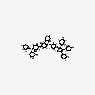 c1ccc(-c2[nH]c(-c3ccc(-n4c5ccccc5c5cc(-c6ccc7c(c6)c6ccccc6n7-c6ccccc6)ccc54)cc3)c(-c3ccccc3)c2-c2ccccc2)cc1